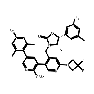 COc1ncc(-c2c(C)cc(C(C)=O)cc2C)cc1-c1cnc(N2CC(F)(F)C2)cc1CN1C(=O)O[C@H](c2cc(C)cc(C(F)(F)F)c2)[C@@H]1C